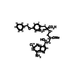 CO[C@H](COC(Cc1ccc(OCc2ccccc2)cc1)(C(=O)O)C(=O)O)C[C@@H](O)n1cnc2c(N)nc(Cl)nc21